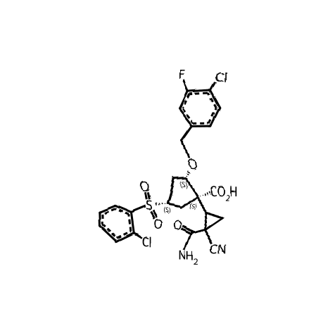 N#CC1(C(N)=O)CC1[C@@]1(C(=O)O)C[C@H](S(=O)(=O)c2ccccc2Cl)C[C@@H]1OCc1ccc(Cl)c(F)c1